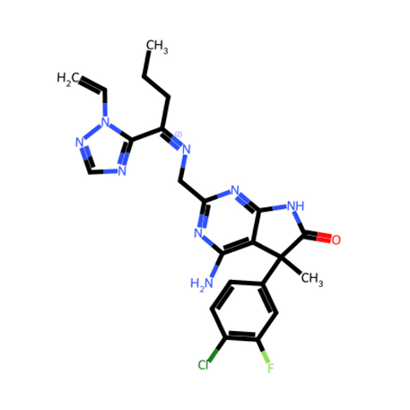 C=Cn1ncnc1/C(CCC)=N\Cc1nc(N)c2c(n1)NC(=O)C2(C)c1ccc(Cl)c(F)c1